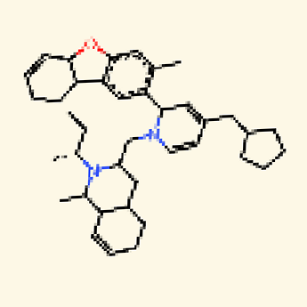 CC[C@@H](C)N1C(CN2C=CC(CC3CCCC3)=CC2c2cc3c(cc2C)OC2C=CCCC32)CC2CCC=CC2C1C